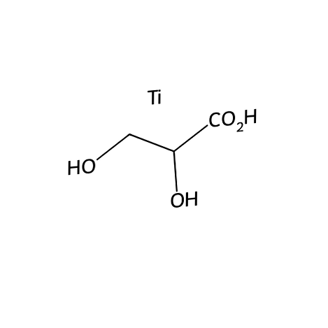 O=C(O)C(O)CO.[Ti]